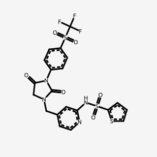 O=C1CN(Cc2ccnc(NS(=O)(=O)c3cccs3)c2)C(=O)N1c1ccc(S(=O)(=O)C(F)(F)F)cc1